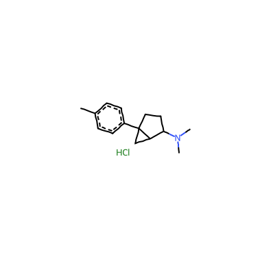 Cc1ccc(C23CCC(N(C)C)C2C3)cc1.Cl